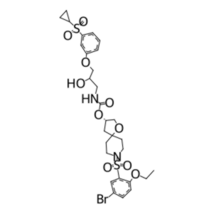 CCOc1ccc(Br)cc1S(=O)(=O)N1CCC2(CC1)C[C@H](OC(=O)NCC(O)COc1cccc(S(=O)(=O)C3CC3)c1)CO2